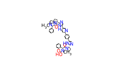 CN(C)[C@@H](C(=O)N1CCC[C@H]1c1ncc(-c2ccc(-c3ccc(-c4cnc([C@@H]5CCCN5C(=O)[C@@H](c5ccccc5)N(C)C(=O)O)[nH]4)cc3)nc2)[nH]1)c1ccccc1